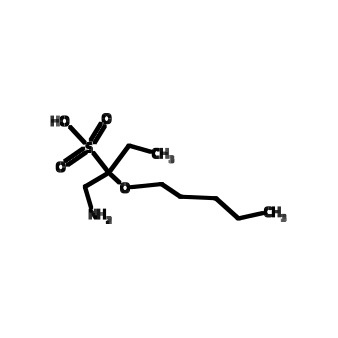 CCCCCOC(CC)(CN)S(=O)(=O)O